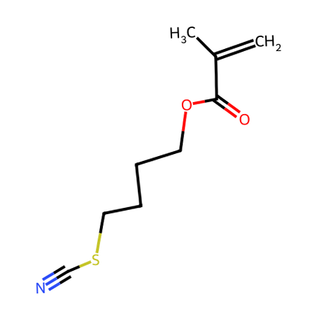 C=C(C)C(=O)OCCCCSC#N